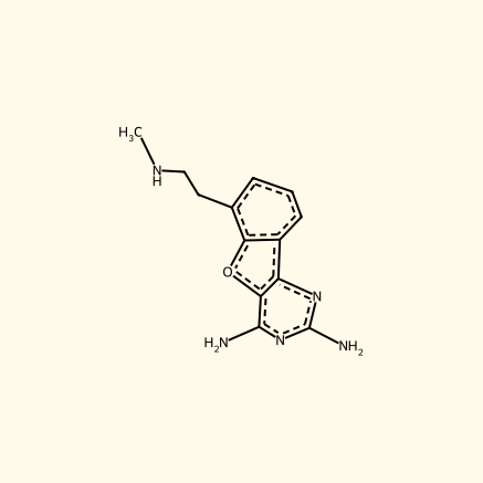 CNCCc1cccc2c1oc1c(N)nc(N)nc12